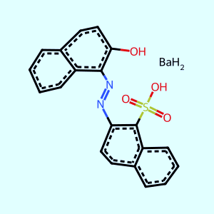 O=S(=O)(O)c1c(N=Nc2c(O)ccc3ccccc23)ccc2ccccc12.[BaH2]